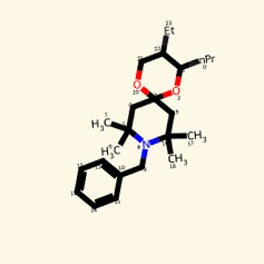 CCCC1OC2(CC(C)(C)N(Cc3ccccc3)C(C)(C)C2)OCC1CC